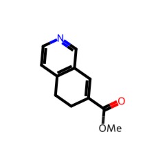 COC(=O)C1=Cc2cnccc2CC1